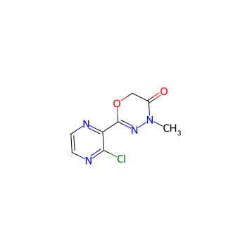 CN1N=C(c2nccnc2Cl)OCC1=O